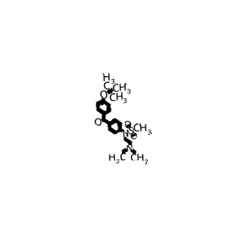 CCN(CC)CCN(c1ccc(C(=O)c2ccc(OC(C)(C)C)cc2)cc1)S(C)(=O)=O